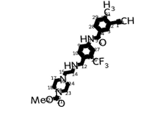 C#Cc1cc(C(=O)Nc2ccc(CNCCN3CCN(C(=O)OC)CC3)c(C(F)(F)F)c2)ccc1C